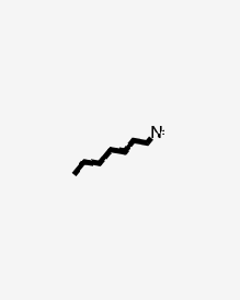 CCCCCCC[N]